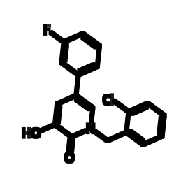 O=c1c(O)cc(-c2cccc(F)c2)cn1Cc1ccccc1Cl